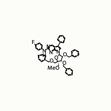 COC[C@]1(COCc2ccccc2)O[C@@H](n2cc(-c3ccccc3)c3cnc(Nc4ccc(F)cc4)nc32)[C@H](OCc2ccccc2)[C@@H]1OCc1ccccc1